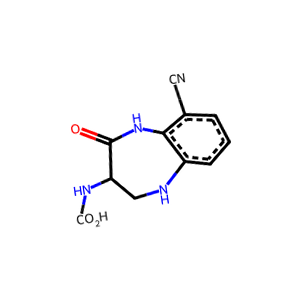 N#Cc1cccc2c1NC(=O)C(NC(=O)O)CN2